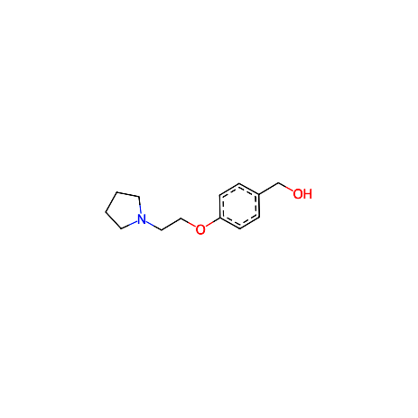 OCc1ccc(OCCN2CCCC2)cc1